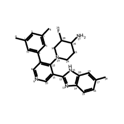 Cc1cc(C)cc(-c2cncc(-c3nc4ccc(C)cc4[nH]3)c2N2CCC(N)C(F)C2)c1